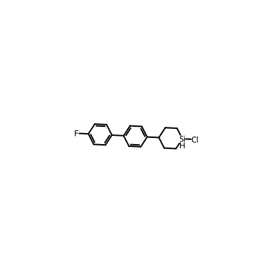 Fc1ccc(-c2ccc(C3CC[SiH](Cl)CC3)cc2)cc1